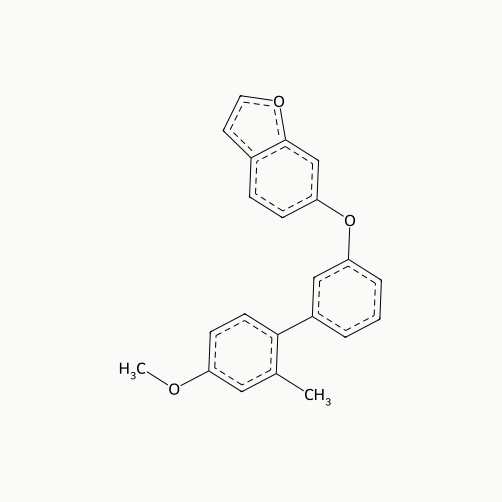 COc1ccc(-c2cccc(Oc3ccc4ccoc4c3)c2)c(C)c1